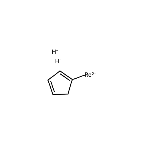 [H-].[H-].[Re+2][C]1=CC=CC1